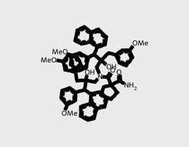 COc1cccc(CC(O)(CN(CC(O)(Cc2cccc(OC)c2)C(c2cccc(OC)c2)c2cccc3ccccc23)C(=O)C2(C(N)=O)CCCC2)C(c2cccc(OC)c2)c2cccc3ccccc23)c1